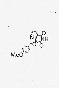 COc1ccc(COn2c(=O)[nH]c(=O)c3cccnc32)cc1